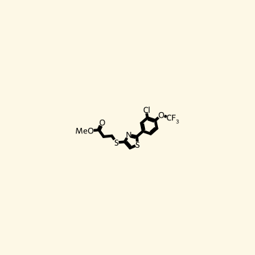 COC(=O)CCSc1csc(-c2ccc(OC(F)(F)F)c(Cl)c2)n1